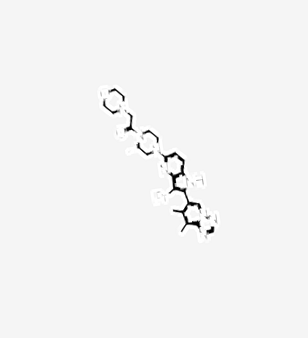 Cc1c(-c2[nH]c3ccc(N4CCN(C(=O)CN5CCOCC5)[C@@H](C)C4)nc3c2C(C)C)cn2ncnc2c1C